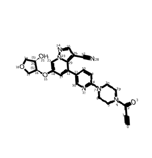 C#CC(=O)N1CCN(c2ccc(-c3cc(O[C@H]4COC[C@@H]4O)cn4ncc(C#N)c34)cn2)CC1